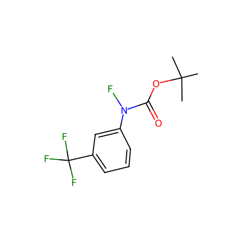 CC(C)(C)OC(=O)N(F)c1cccc(C(F)(F)F)c1